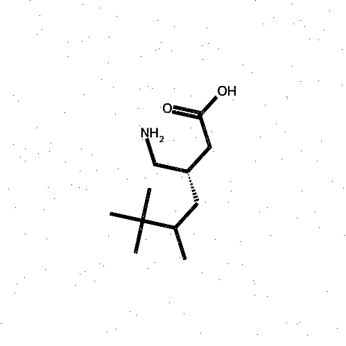 CC(C[C@H](CN)CC(=O)O)C(C)(C)C